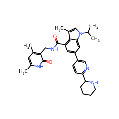 Cc1cc(C)c(CNC(=O)c2cc(-c3ccc(C4CCCCN4)nc3)cc3c2c(C)cn3C(C)C)c(=O)[nH]1